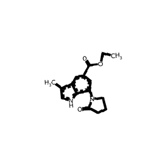 CCOC(=O)c1cc(N2CCCC2=O)c2[nH]cc(C)c2c1